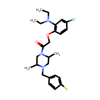 CCN(CC)c1cc(Cl)ccc1OCC(=O)N1CC(C)N(Cc2ccc(F)cc2)CC1C